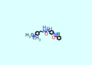 CN(C)c1ccc(CCNC(=O)N(S)c2ccc(NC(=O)c3ccccc3F)cc2)cc1